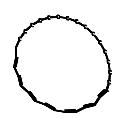 [C]1=C/C=C/C=C\C=C\C=C\C=C\C=C\CCCCCCCCCCCCCCCC/1